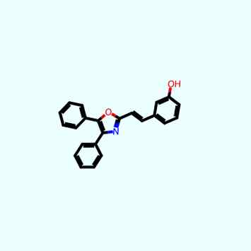 Oc1cccc(/C=C/c2nc(-c3ccccc3)c(-c3ccccc3)o2)c1